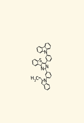 C=Cc1cc2ccccc2n1-c1cccc(-c2nc(-c3cccc(-n4c5ccccc5c5ccccc54)c3)c3sc4ccccc4c3n2)c1